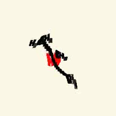 CCCCCCCCCCCCC(CCCCCCCCCCCCCCC(C)C)OP(=O)(O)OCC